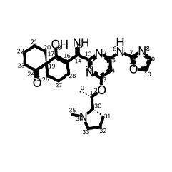 C[C@H](Oc1cc(Nc2ncco2)nc(C(=N)C2=C(O)[C@]3(CCCCC3=O)CCC2)n1)[C@@H]1CCCN1C